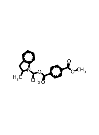 COC(=O)c1ccc(C(=O)OC(C)N2c3ccccc3CC2C)cc1